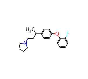 CC(CCN1CCCC1)c1ccc(Oc2ccccc2F)cc1